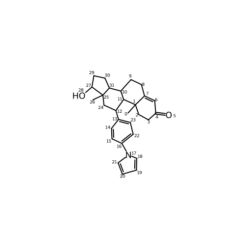 CC12CCC(=O)C=C1CCC1C2C(c2ccc(-n3cccc3)cc2)CC2(C)C(O)CCC12